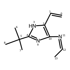 C=Cc1[nH]c(C(C)(C)C)nc1/N=C\C